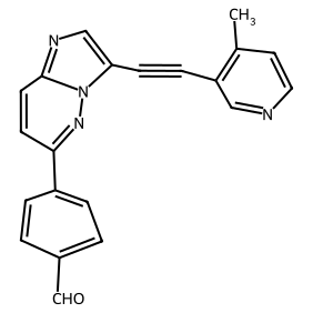 Cc1ccncc1C#Cc1cnc2ccc(-c3ccc(C=O)cc3)nn12